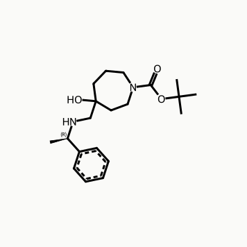 C[C@@H](NCC1(O)CCCN(C(=O)OC(C)(C)C)CC1)c1ccccc1